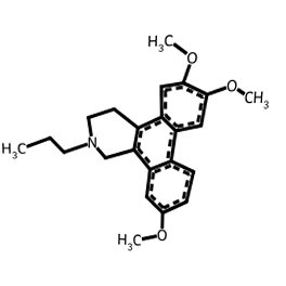 CCCN1CCc2c(c3cc(OC)ccc3c3cc(OC)c(OC)cc23)C1